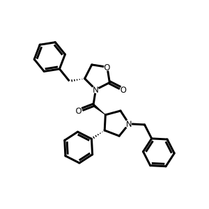 O=C1OC[C@@H](Cc2ccccc2)N1C(=O)[C@H]1CN(Cc2ccccc2)C[C@@H]1c1ccccc1